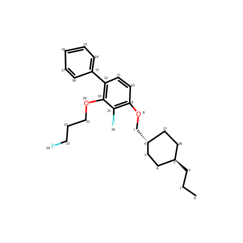 CCC[C@H]1CC[C@H](COc2ccc(-c3ccccc3)c(OCCCF)c2F)CC1